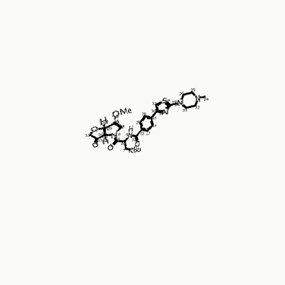 CO[C@@H]1CN(C(=O)C(CC(C)(C)C)NC(=O)c2ccc(-c3csc(N4CCN(C)CC4)n3)cc2)[C@@H]2C(=O)CO[C@@H]21